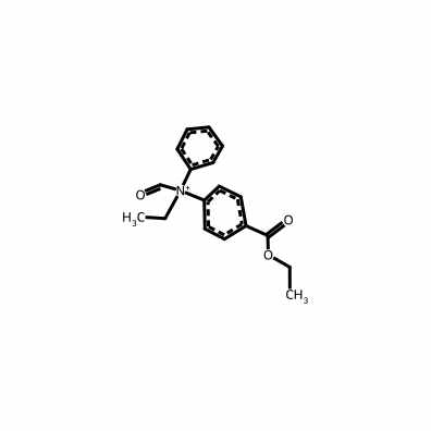 CCOC(=O)c1ccc([N+](C=O)(CC)c2ccccc2)cc1